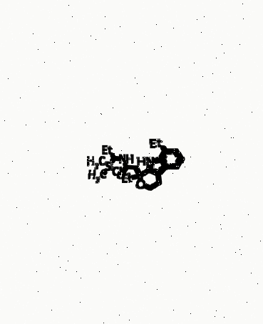 CCc1cccc2c3c([nH]c12)C(CC)(CC(=O)NC(CC)[Si](C)(C)C)OCC3